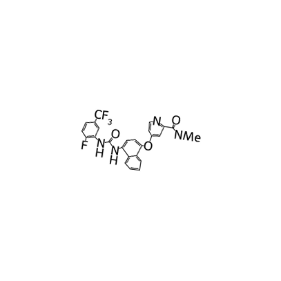 CNC(=O)c1cc(Oc2ccc(NC(=O)Nc3cc(C(F)(F)F)ccc3F)c3ccccc23)ccn1